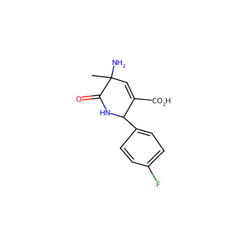 CC1(N)C=C(C(=O)O)C(c2ccc(F)cc2)NC1=O